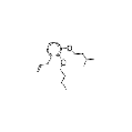 C=CCc1cccc(OCCC(C)C)c1OCCCC